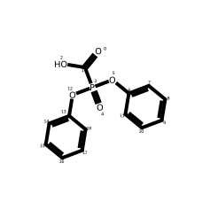 O=C(O)P(=O)(Oc1ccccc1)Oc1ccccc1